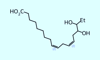 CCC(O)C(O)C/C=C\C/C=C\CCCCCCCC(=O)O